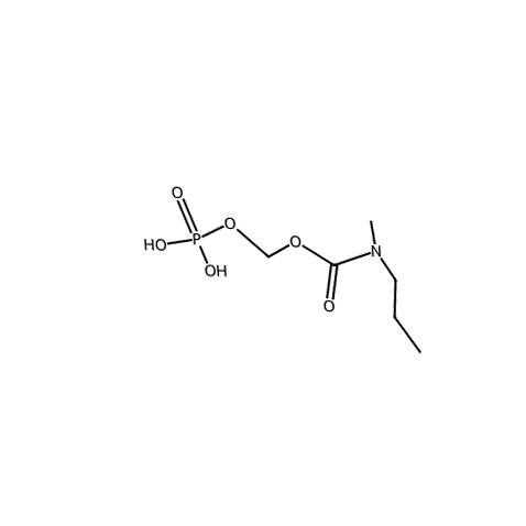 CCCN(C)C(=O)OCOP(=O)(O)O